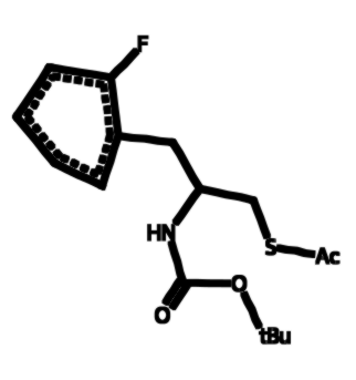 CC(=O)SCC(Cc1ccccc1F)NC(=O)OC(C)(C)C